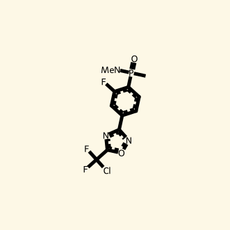 CNP(C)(=O)c1ccc(-c2noc(C(F)(F)Cl)n2)cc1F